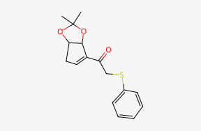 CC1(C)OC2CC=C(C(=O)CSc3ccccc3)C2O1